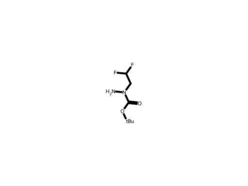 CC(C)(C)OC(=O)N(N)CC(F)F